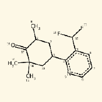 CC1CC(c2ncccc2C(F)F)CC(C)(C)C1=O